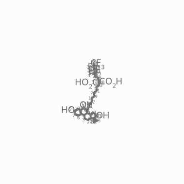 C[C@]12CCC3c4ccc(O)cc4[C@@H](O)[C@@H](CCCCCCCCCC(CCC(F)(F)C(F)(F)C(F)(F)C(F)(F)F)(C(=O)O)C(=O)O)C3C1C[C@@H](O)C21CC1